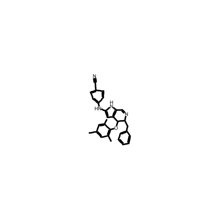 Cc1cc(C)c(OC2c3cc(Nc4ccc(C#N)cc4)[nH]c3C=NC2Cc2ccccc2)c(C)c1